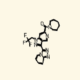 O=C(c1cc2c(cn1)c(-c1nnc3ccccn13)nn2CC(F)(F)F)N1CCCCCC1